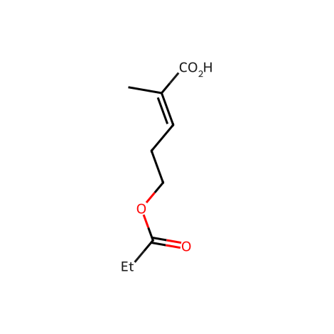 CCC(=O)OCCC=C(C)C(=O)O